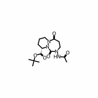 CC(=O)NN1CCC(=O)N2CCC[C@@H](C(=O)OC(C)(C)C)N2C1=O